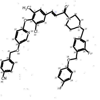 Cc1cc(/C=C/C(=O)N2CCN(Cc3ccc(COc4ccc(F)cc4)c(F)c3)CC2)cc(Cl)c1Oc1ccc(OCc2ccc(C#N)cc2)cn1